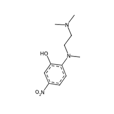 CN(C)CCN(C)c1ccc([N+](=O)[O-])cc1O